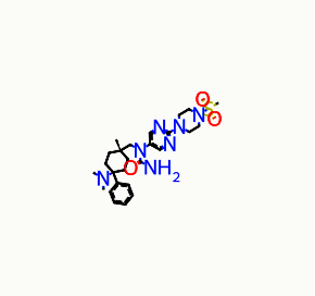 CN(C)[C@]1(c2ccccc2)CC[C@@](C)(CN(C(N)=O)c2cnc(N3CCN(S(C)(=O)=O)CC3)nc2)CC1